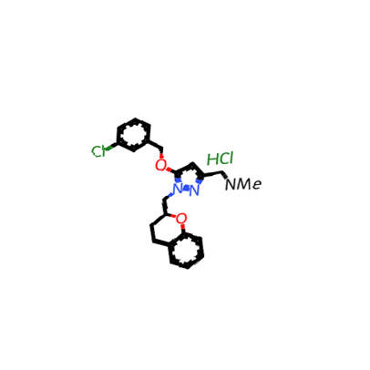 CNCc1cc(OCc2cccc(Cl)c2)n(CC2CCc3ccccc3O2)n1.Cl